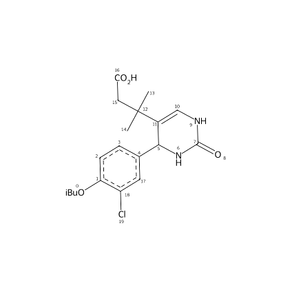 CC(C)COc1ccc(C2NC(=O)NC=C2C(C)(C)CC(=O)O)cc1Cl